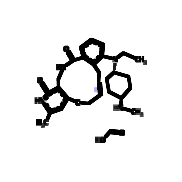 CCN(c1cccc2c1C/C=C/CCc1cc(C)[nH]c(=O)c1CNC2=O)[C@H]1CC[C@H](NC)CC1.O=CO